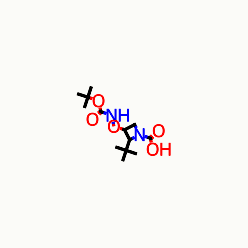 CC(C)(C)OC(=O)NOC1CN(C(=O)O)C1C(C)(C)C